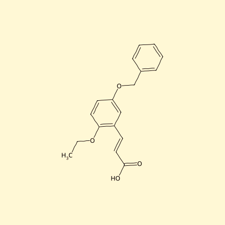 CCOc1ccc(OCc2ccccc2)cc1C=CC(=O)O